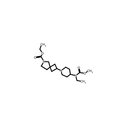 CCOC(=O)N1CCC2(CC(N3CCC(N(CC)C(=O)OC)CC3)C2)C1